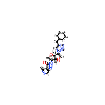 CC1=NCC=C1C(=O)N[C@H]1CO[C@H]2[C@@H]1OC[C@@H]2n1cc(CC2CCCCC2)nn1